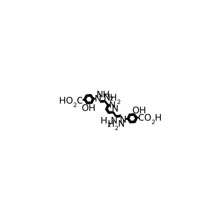 N/C(=C\N(N)c1ccc(C(=O)O)c(O)c1)c1ccc(/C(N)=C/N(N)c2ccc(C(=O)O)c(O)c2)nn1